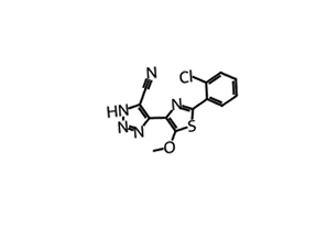 COc1sc(-c2ccccc2Cl)nc1-c1nn[nH]c1C#N